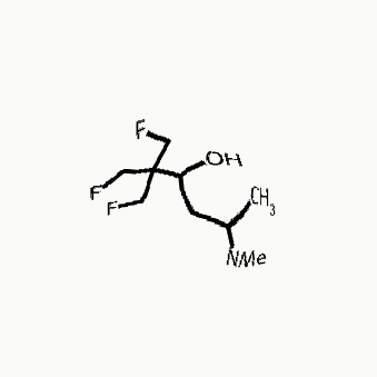 CNC(C)CC(O)C(CF)(CF)CF